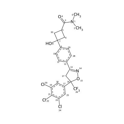 CN(C)C(=O)C1CC(O)(c2ccc(C3=NOC(c4cc(Cl)c(Cl)c(Cl)c4)(C(F)(F)F)C3)cc2)C1